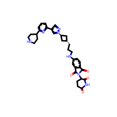 O=C1CCC(N2C(=O)c3ccc(NCCC[C@H]4C[C@H](n5cc(-c6cccc(C7CCNCC7)n6)cn5)C4)cc3C2=O)C(=O)N1